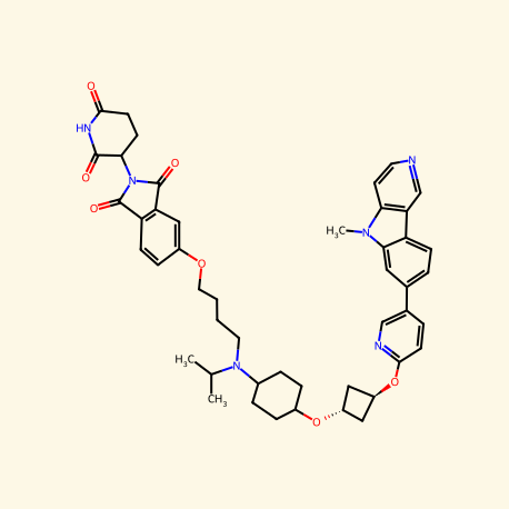 CC(C)N(CCCCOc1ccc2c(c1)C(=O)N(C1CCC(=O)NC1=O)C2=O)C1CCC(O[C@H]2C[C@H](Oc3ccc(-c4ccc5c6cnccc6n(C)c5c4)cn3)C2)CC1